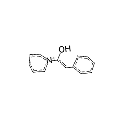 OC(=Cc1ccccc1)[n+]1ccccc1